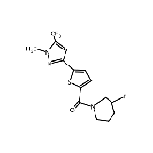 Cn1nc(-c2ccc(C(=O)N3CCCC(F)C3)s2)cc1C(F)(F)F